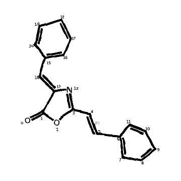 O=C1OC(/C=C/c2ccccc2)=NC1=Cc1ccccc1